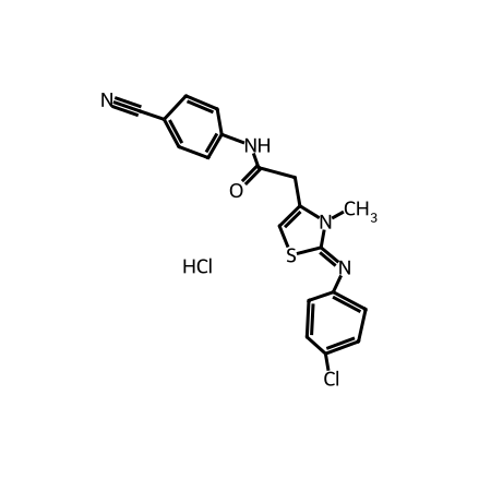 Cl.Cn1c(CC(=O)Nc2ccc(C#N)cc2)csc1=Nc1ccc(Cl)cc1